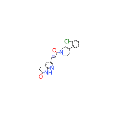 O=C1CCc2cc(/C=C/C(=O)N3CC=C(c4ccccc4Cl)CCC3)cnc2N1